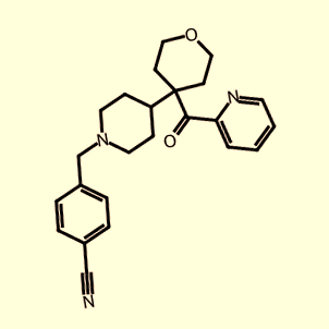 N#Cc1ccc(CN2CCC(C3(C(=O)c4ccccn4)CCOCC3)CC2)cc1